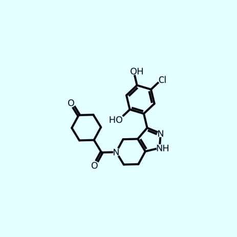 O=C1CCC(C(=O)N2CCc3[nH]nc(-c4cc(Cl)c(O)cc4O)c3C2)CC1